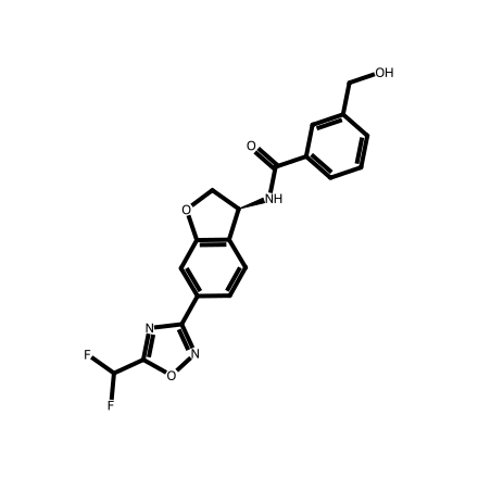 O=C(N[C@@H]1COc2cc(-c3noc(C(F)F)n3)ccc21)c1cccc(CO)c1